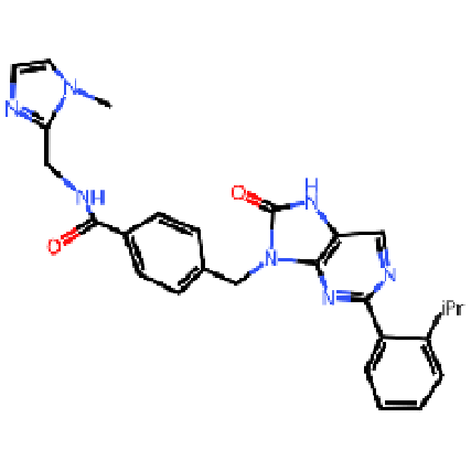 CC(C)c1ccccc1-c1ncc2[nH]c(=O)n(Cc3ccc(C(=O)NCc4nccn4C)cc3)c2n1